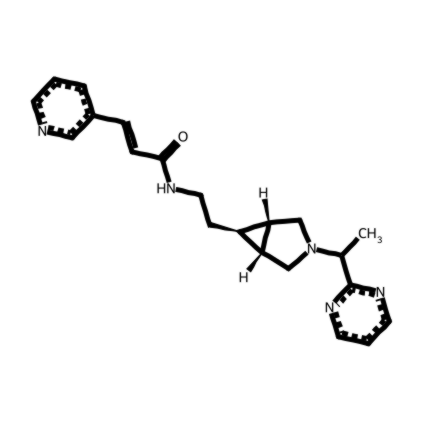 CC(c1ncccn1)N1C[C@@H]2[C@@H](CCNC(=O)/C=C/c3cccnc3)[C@@H]2C1